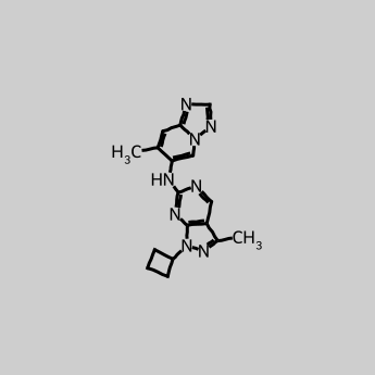 Cc1cc2ncnn2cc1Nc1ncc2c(C)nn(C3CCC3)c2n1